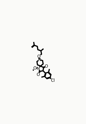 C=C(C)CCC(C)CON1CCC2(CC1)C(=O)C(c1c(C)cc(Cl)cc1C)C(=O)N2OC